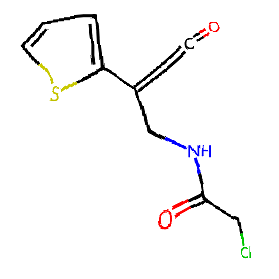 O=C=C(CNC(=O)CCl)c1cccs1